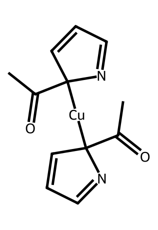 CC(=O)[C]1([Cu][C]2(C(C)=O)C=CC=N2)C=CC=N1